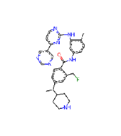 Cc1ccc(NC(=O)c2ccc(C(C)C3CCNCC3)cc2CF)cc1Nc1nccc(-c2cncnc2)n1